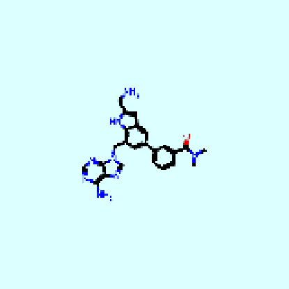 CN(C)C(=O)c1cccc(-c2cc(Cn3cnc4c(N)ncnc43)c3[nH]c(CN)cc3c2)c1